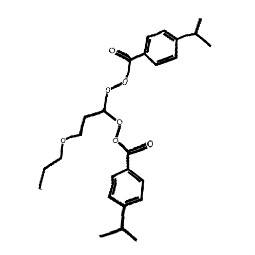 [CH2]CCOCC[C](OOC(=O)c1ccc(C(C)C)cc1)OOC(=O)c1ccc(C(C)C)cc1